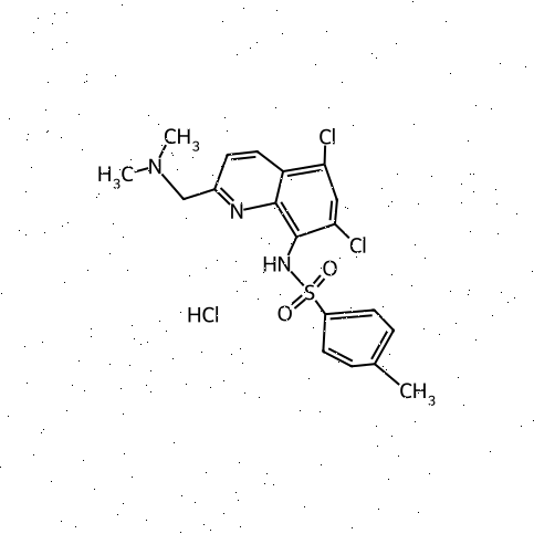 Cc1ccc(S(=O)(=O)Nc2c(Cl)cc(Cl)c3ccc(CN(C)C)nc23)cc1.Cl